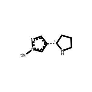 CC(C)(C)n1cc([C@@H]2CCCN2)cn1